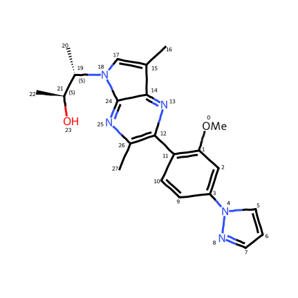 COc1cc(-n2cccn2)ccc1-c1nc2c(C)cn([C@@H](C)[C@H](C)O)c2nc1C